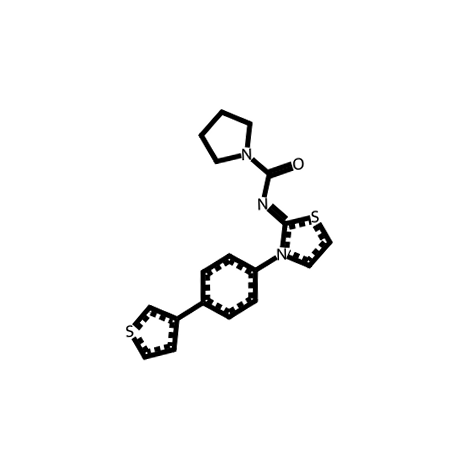 O=C(N=c1sccn1-c1ccc(-c2ccsc2)cc1)N1CCCC1